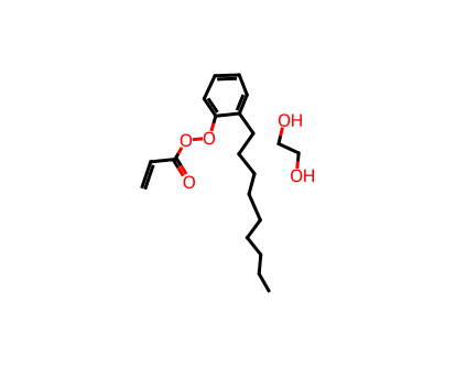 C=CC(=O)OOc1ccccc1CCCCCCCCC.OCCO